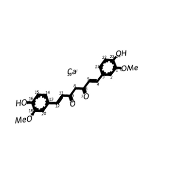 COc1cc(/C=C/C(=O)CC(=O)/C=C/c2ccc(O)c(OC)c2)ccc1O.[Ca]